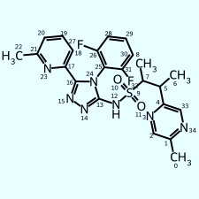 Cc1cnc(C(C)C(C)S(=O)(=O)Nc2nnc(-c3cccc(C)n3)n2-c2c(F)cccc2F)cn1